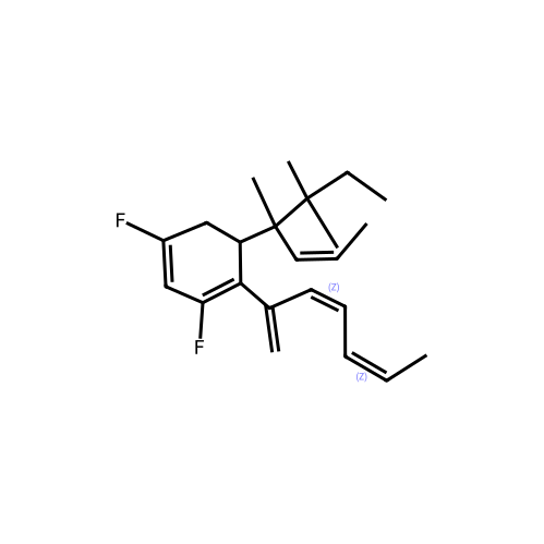 C=C(/C=C\C=C/C)C1=C(F)C=C(F)CC1C(C)(C=CC)C(C)(C)CC